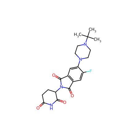 CC(C)(C)N1CCN(c2cc3c(cc2F)C(=O)N(C2CCC(=O)NC2=O)C3=O)CC1